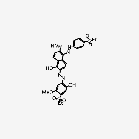 CCS(=O)(=O)c1ccc(/N=N/c2c(NC)ccc3c(O)c(/N=N/c4cc(OC)c(S(=O)(=O)CC)cc4O)ccc23)cc1